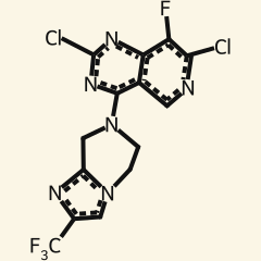 Fc1c(Cl)ncc2c(N3CCn4cc(C(F)(F)F)nc4C3)nc(Cl)nc12